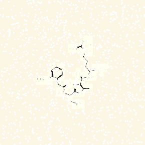 COc1ccccc1CC(=O)N[C@@H](CC(C)C)c1nc(C(=O)N[C@@H](CCCNC(=N)N)C(=O)O)c(C)o1